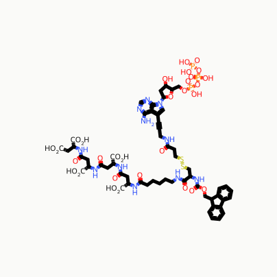 Nc1ncnc2c1c(C#CCNC(=O)CCSSCC(NC(=O)OCC1c3ccccc3-c3ccccc31)C(=O)NCCCCCC(=O)NC(CC(=O)NC(CC(=O)NC(CC(=O)NC(CC(=O)O)C(=O)O)C(=O)O)C(=O)O)C(=O)O)cn2C1CC(O)C(COP(=O)(O)OP(=O)(O)OP(=O)(O)O)O1